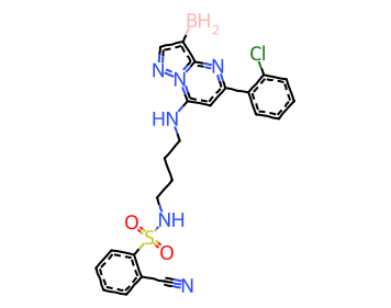 Bc1cnn2c(NCCCCNS(=O)(=O)c3ccccc3C#N)cc(-c3ccccc3Cl)nc12